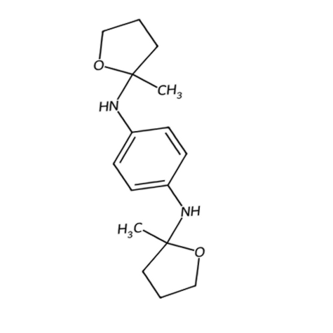 CC1(Nc2ccc(NC3(C)CCCO3)cc2)CCCO1